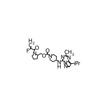 C=C(F)C(=O)N1CCCC1COC(=O)N1CCC(Nc2nc(C)nc3c(C(C)C)cnn23)CC1